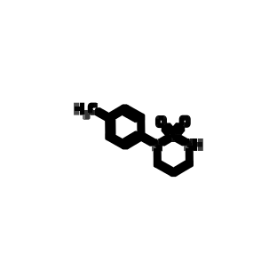 Cc1ccc(N2CCCNS2(=O)=O)cc1